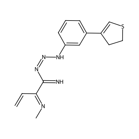 C=C/C(=N\C)C(=N)/N=N\Nc1cccc(C2=CSCC2)c1